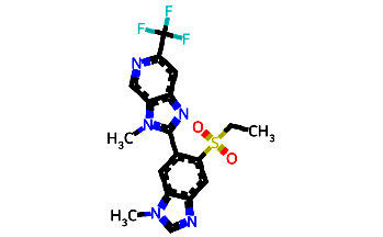 CCS(=O)(=O)c1cc2ncn(C)c2cc1-c1nc2cc(C(F)(F)F)ncc2n1C